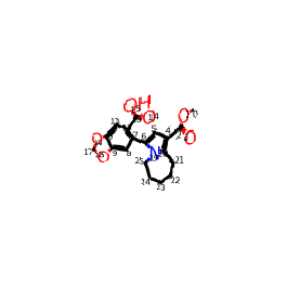 COC(=O)c1cc(-c2cc3c(cc2C(=O)O)OCO3)n2c1CCCCC2